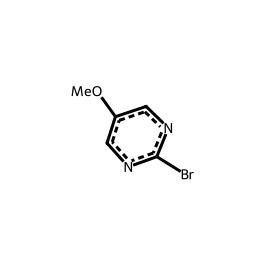 COc1cnc(Br)nc1